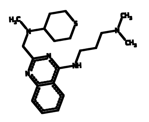 CN(C)CCCNc1nc(CN(C)C2CCSCC2)nc2ccccc12